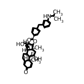 CC(C)Nc1cccc(Cc2ccc([C@@H]3O[C@@H]4C[C@H]5[C@@H]6CCC7=CC(=O)C=C[C@]7(C)[C@@]6(F)[C@@H](O)C[C@]5(C)[C@]4(C(=O)CO)O3)cc2)c1